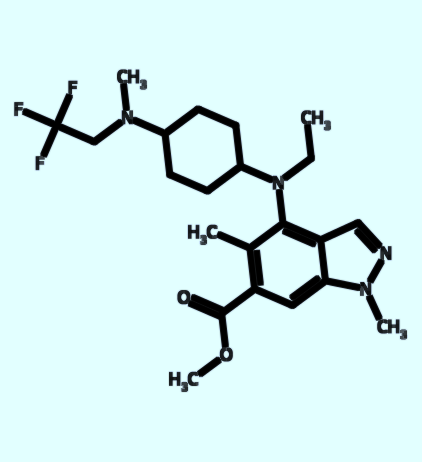 CCN(c1c(C)c(C(=O)OC)cc2c1cnn2C)C1CCC(N(C)CC(F)(F)F)CC1